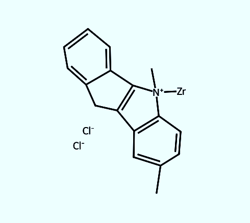 Cc1ccc2c(c1)C1=C(c3ccccc3C1)[N+]2(C)[Zr].[Cl-].[Cl-]